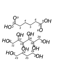 O=C(O)CCCCC(=O)O.OCC(O)C(O)C(O)C(O)CO.OCCCCO